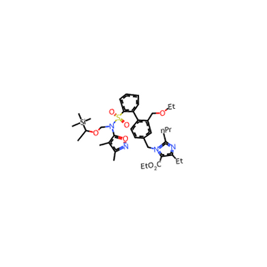 CCCc1nc(CC)c(C(=O)OCC)n1Cc1ccc(-c2ccccc2S(=O)(=O)N(COC(C)[Si](C)(C)C)c2onc(C)c2C)c(COCC)c1